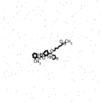 COC(=O)CCCCCOC(c1ccc2nc(Nc3ccccc3C)oc2c1)[C@@H]1C[C@H](F)CN1